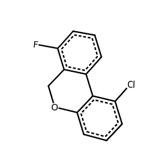 Fc1cccc2c1COc1cccc(Cl)c1-2